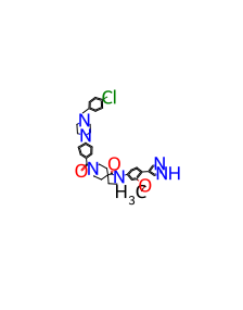 COc1cc(N2CCC3(CCN(C(=O)c4ccc(N5CCN(Cc6ccc(Cl)cc6)CC5)cc4)CC3)C2=O)ccc1-c1cn[nH]c1